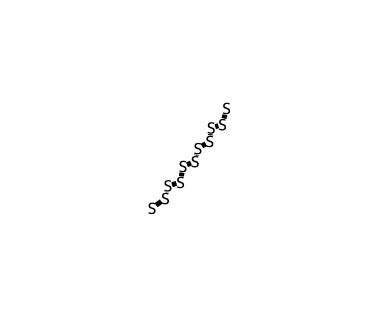 S=S=S=S=S=S=S=S=S=S=S